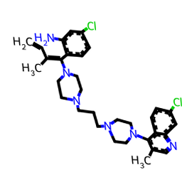 C=C/C(C)=C(\c1ccc(Cl)cc1N)N1CCN(CCCN2CCN(c3c(C)cnc4cc(Cl)ccc34)CC2)CC1